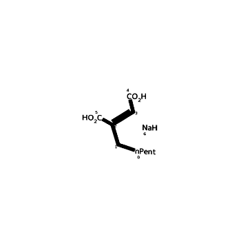 CCCCCCC(=CC(=O)O)C(=O)O.[NaH]